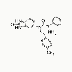 NC(C(=O)N(CCc1ccc(C(F)(F)F)cc1)c1ccc2[nH]c(=O)[nH]c2c1)c1ccccc1